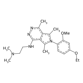 CCOc1ccc(-n2c(C)c3c(C)nnc(NCCN(C)C)c3c2C)c(OC)c1